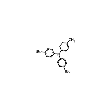 CC1=CC=C(N(c2ccc(C(C)(C)C)cc2)c2ccc(C(C)(C)C)cc2)CC1